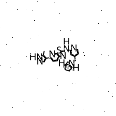 Cc1[nH]ncc1-c1ccc2nc(Nc3cc(CN4C[C@@H]5CC[C@H]4C5)ccn3)sc2n1